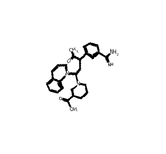 CC(=O)C(CC(N1CCCC(C(=O)O)C1)N1CC=Cc2ccccc21)c1cccc(C(=N)N)c1